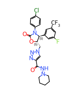 O=C(NN1CCCCC1)c1cn(C[C@@H]2OC(=O)N(c3ccc(Cl)cc3)[C@H]2c2cc(F)cc(C(F)(F)F)c2)nn1